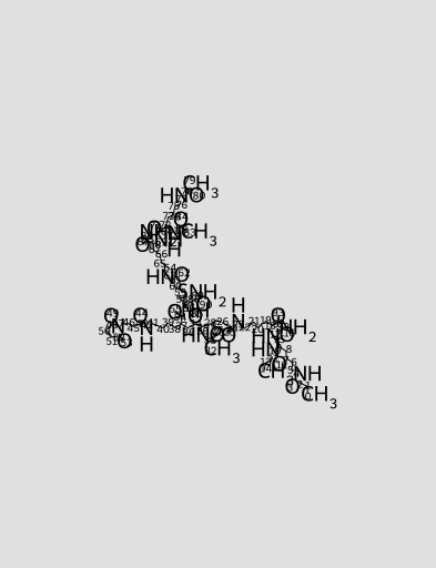 CCC(=O)NCCCCC(NC(=O)CC)C(=O)NC(CCCCNC(=O)CSCC(NC(C)=O)C(=O)CC(CCCCNC(=O)CCN1C(=O)C=CC1=O)C(=O)NC(CSCC(=O)NCCCCC(NC(=O)C(CCCCNC(C)=O)NC(C)=O)C(N)=O)C(N)=O)C(N)=O